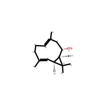 C/C1=C\[C@H]2[C@@H]([C@@H](O)C/C(C)=C/CC1)C2(C)C